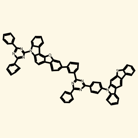 c1ccc(-c2nc(-c3ccc(-n4c5ccccc5c5cc6c(cc54)sc4ccccc46)cc3)nc(-c3cccc(-c4ccc5c(c4)oc4c5ccc5c4c4ccccc4n5-c4nc(-c5ccccc5)nc(-c5ccccc5)n4)c3)n2)cc1